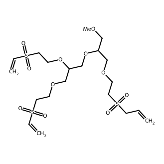 C=CCS(=O)(=O)CCOCC(COC)OCC(COCCS(=O)(=O)C=C)OCCS(=O)(=O)C=C